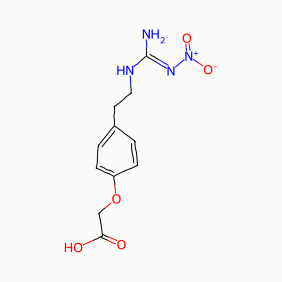 NC(=N[N+](=O)[O-])NCCc1ccc(OCC(=O)O)cc1